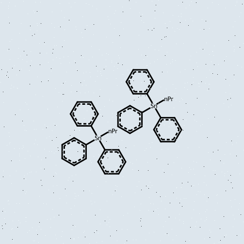 CC[CH2][Sn]([c]1ccccc1)([c]1ccccc1)[c]1ccccc1.CC[CH2][Sn]([c]1ccccc1)([c]1ccccc1)[c]1ccccc1